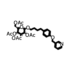 CC(=O)OC[C@H]1O[C@@H](OCCCCc2ccc(OCc3cccnc3)cc2)[C@H](OC(C)=O)[C@@H](OC(C)=O)[C@@H]1OC(C)=O